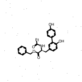 CCC(=O)N[C@@H](Cc1ccc(O)c(-c2ccc(O)cc2)c1)C(=O)OCc1ccccc1